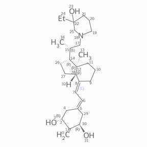 C=C1[C@H](O)CC(=C/C=C2\CCC[C@]3(C)[C@@H]([C@H](C)CN4CCCC(O)(CC)C4)CC[C@@H]23)C[C@H]1O